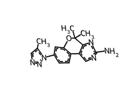 Cc1cnnn1-c1ccc2c(c1)OC(C)(C)c1nc(N)ncc1-2